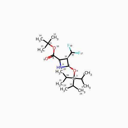 CC(C)[Si](O[C@H]1NC(C(=O)OC(C)(C)C)[C@H]1C(F)F)(C(C)C)C(C)C